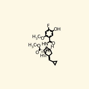 COC(=O)[C@@H]1[C@H](NC(=O)c2cc(O)c(F)cc2OC)[C@H]2CC(=CC3CC3)[C@@H]1C2